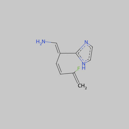 C=C(F)/C=C\C(=C/N)c1ncc[nH]1